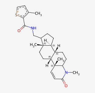 Cc1ccsc1C(=O)NCC1CC[C@H]2[C@@H]3CCC4N(C)C(=O)C=C[C@]4(C)[C@@H]3CC[C@]12C